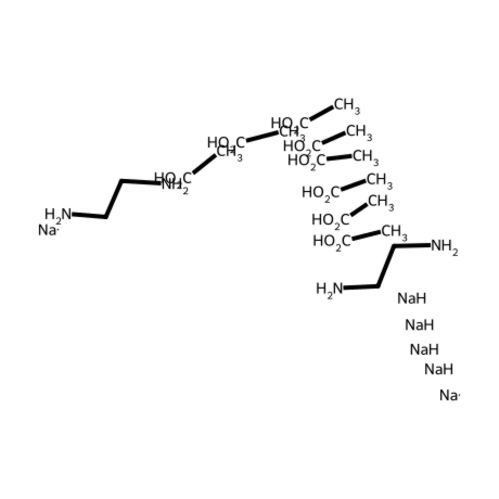 CC(=O)O.CC(=O)O.CC(=O)O.CC(=O)O.CC(=O)O.CC(=O)O.CC(=O)O.CC(=O)O.NCCN.NCCN.[NaH].[NaH].[NaH].[NaH].[Na].[Na]